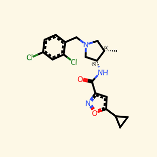 C[C@H]1CN(Cc2ccc(Cl)cc2Cl)C[C@H]1NC(=O)c1cc(C2CC2)on1